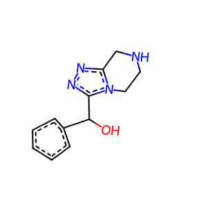 OC(c1ccccc1)c1nnc2n1CCNC2